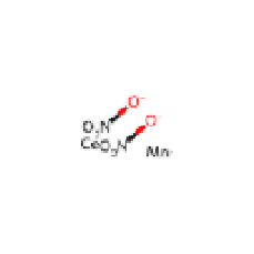 O=[N+]([O-])[O-].O=[N+]([O-])[O-].[Ce].[Mn]